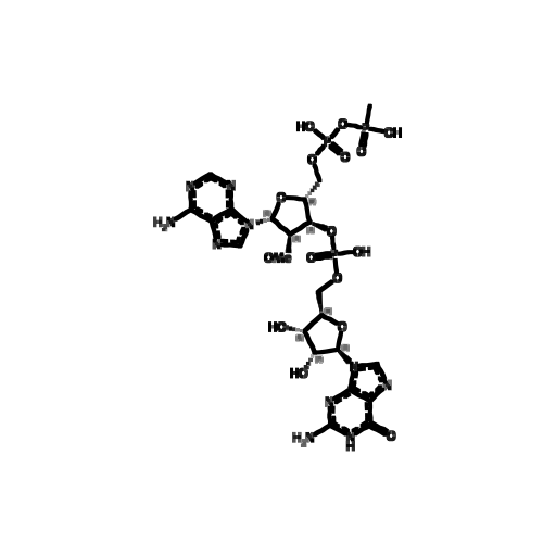 CO[C@@H]1[C@H](OP(=O)(O)OC[C@H]2O[C@@H](n3cnc4c(=O)[nH]c(N)nc43)[C@H](O)[C@@H]2O)[C@@H](COP(=O)(O)OP(C)(=O)O)O[C@H]1n1cnc2c(N)ncnc21